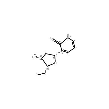 CC[C@H]1O[C@@H](c2ccc[nH]c2=O)C[C@H]1O